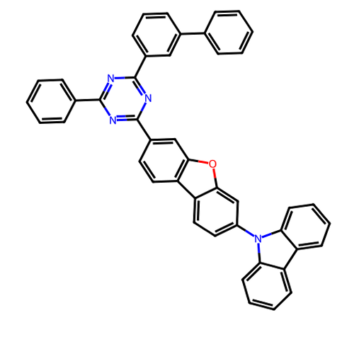 c1ccc(-c2cccc(-c3nc(-c4ccccc4)nc(-c4ccc5c(c4)oc4cc(-n6c7ccccc7c7ccccc76)ccc45)n3)c2)cc1